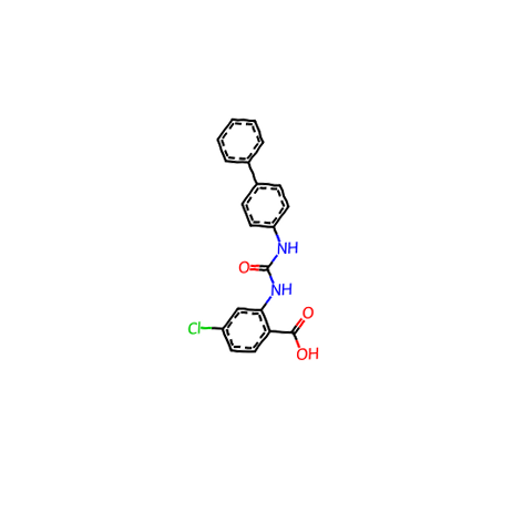 O=C(Nc1ccc(-c2ccccc2)cc1)Nc1cc(Cl)ccc1C(=O)O